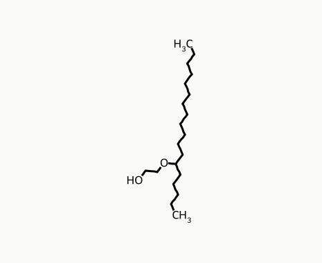 CCCCCCCCCCCCC(CCCCC)OCCO